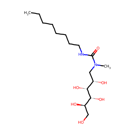 CCCCCCCCNC(=O)N(C)C[C@H](O)[C@@H](O)[C@H](O)[C@H](O)CO